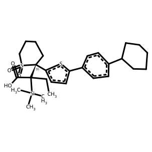 CCC(C(=O)O)([C@]1(c2ccc(-c3ccc(C4CCCCC4)cc3)s2)CCCCS1(=O)=O)[Si](C)(C)C